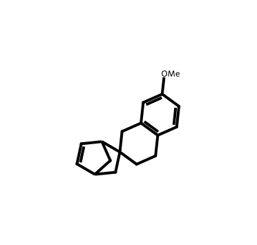 COc1ccc2c(c1)CC1(CC2)CC2C=CC1C2